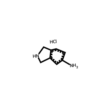 Cl.Nc1ccc2c(c1)CNC2